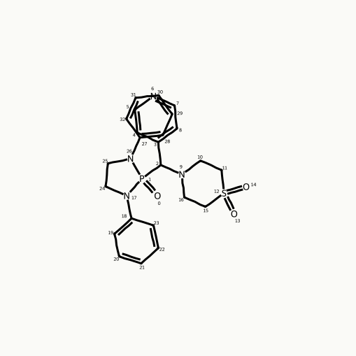 O=P1(C(c2ccncc2)N2CCS(=O)(=O)CC2)N(c2ccccc2)CCN1c1ccccc1